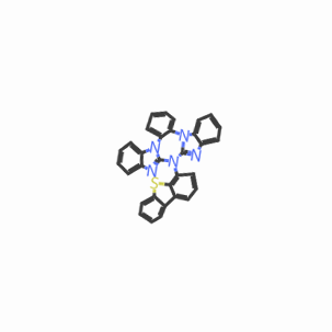 c1ccc2c(c1)nc1n(-c3cccc4c3sc3ccccc34)c3nc4ccccc4n3c3ccccc3n21